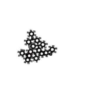 c1ccc(-c2cccc(-c3ccccc3)c2N(c2cccc(N(c3ccccc3)c3ccccc3)c2)c2cc(-c3ccc4oc5ccccc5c4c3)cc(C(c3ccccc3)(c3ccccc3)c3cccc(N(c4ccccc4)c4ccccc4)c3)c2)cc1